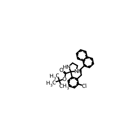 CC(C)(C)OC(=O)C1(c2cccc(Cl)c2CCc2cccc3ccccc23)NCCN1